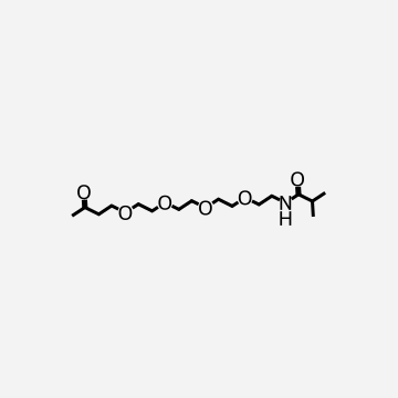 CC(=O)CCOCCOCCOCCOCCNC(=O)C(C)C